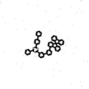 c1ccc(-c2ccc(-c3nc(-c4ccccc4)nc(-c4cccc(-c5cccc(-c6cccc7c6-c6ccccc6C76c7ccccc7-c7ccccc76)c5)c4)n3)cc2)cc1